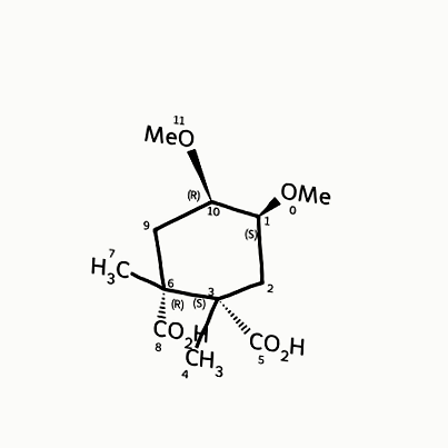 CO[C@H]1C[C@](C)(C(=O)O)[C@](C)(C(=O)O)C[C@H]1OC